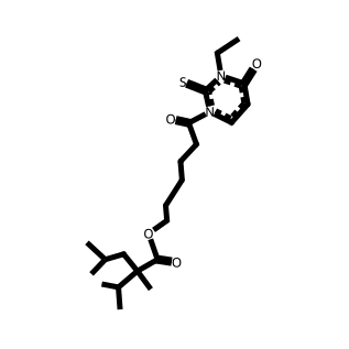 CCn1c(=O)ccn(C(=O)CCCCCOC(=O)C(C)(CC(C)C)C(C)C)c1=S